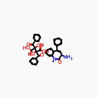 CN1C(=O)C(N)C=C(c2ccccc2)c2ccccc21.O=C(O)C(O)(C(=O)c1ccccc1)C(O)(C(=O)O)C(=O)c1ccccc1